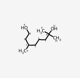 CC(CCO)CCCC(C)(C)O